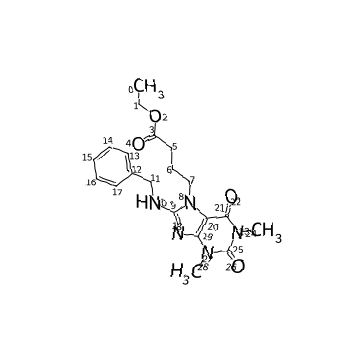 CCOC(=O)CCCn1c(NCc2ccccc2)nc2c1c(=O)n(C)c(=O)n2C